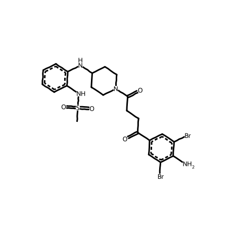 CS(=O)(=O)Nc1ccccc1NC1CCN(C(=O)CCC(=O)c2cc(Br)c(N)c(Br)c2)CC1